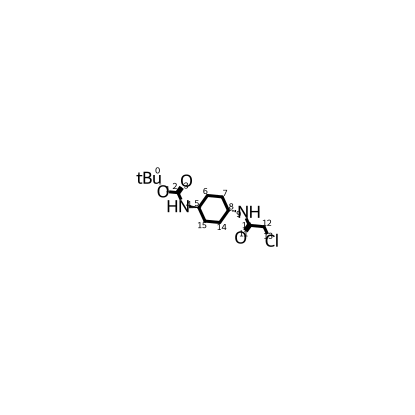 CC(C)(C)OC(=O)N[C@H]1CC[C@H](NC(=O)CCl)CC1